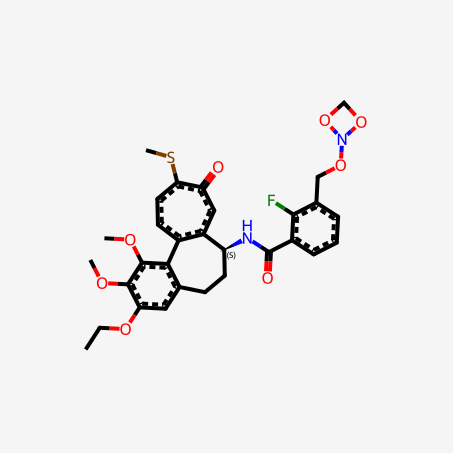 CCOc1cc2c(c(OC)c1OC)-c1ccc(SC)c(=O)cc1[C@@H](NC(=O)c1cccc(CON3OCO3)c1F)CC2